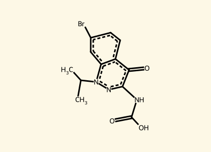 CC(C)n1nc(NC(=O)O)c(=O)c2ccc(Br)cc21